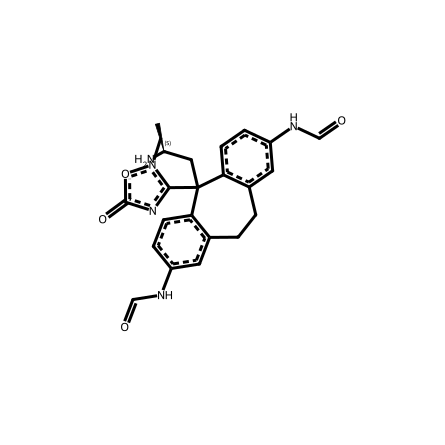 C[C@H](N)CC1(c2nc(=O)on2C)c2ccc(NC=O)cc2CCc2cc(NC=O)ccc21